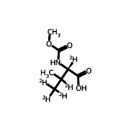 [2H]C([2H])([2H])C([2H])(C)[C@]([2H])(NC(=O)OC)C(=O)O